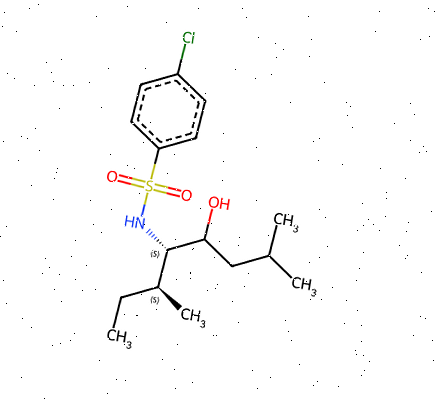 CC[C@H](C)[C@H](NS(=O)(=O)c1ccc(Cl)cc1)C(O)CC(C)C